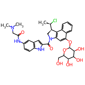 C[C@@H](Cl)[C@@H]1CN(C(=O)c2cc3cc(NC(=O)CN(C)C)ccc3[nH]2)c2cc(O[C@@H]3OC(CO)[C@H](O)C(O)[C@@H]3O)c3ccccc3c21